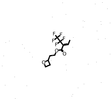 CC=C(C(=O)OCCC1CCO1)C(F)(F)C(F)(F)F